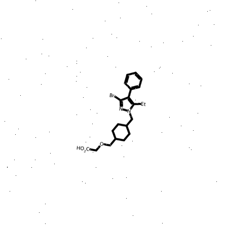 CCc1c(-c2ccccc2)c(Br)nn1CC1CCC(COCC(=O)O)CC1